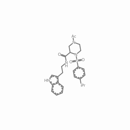 CC(=O)N1CCN(S(=O)(=O)c2ccc(C(C)C)cc2)C(C(=O)NCCc2c[nH]c3ccccc23)C1